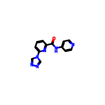 O=C(Nc1ccncc1)c1cccc(-n2cnnc2)n1